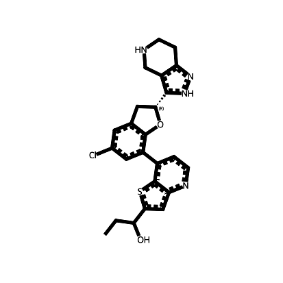 CCC(O)c1cc2nccc(-c3cc(Cl)cc4c3O[C@@H](c3[nH]nc5c3CNCC5)C4)c2s1